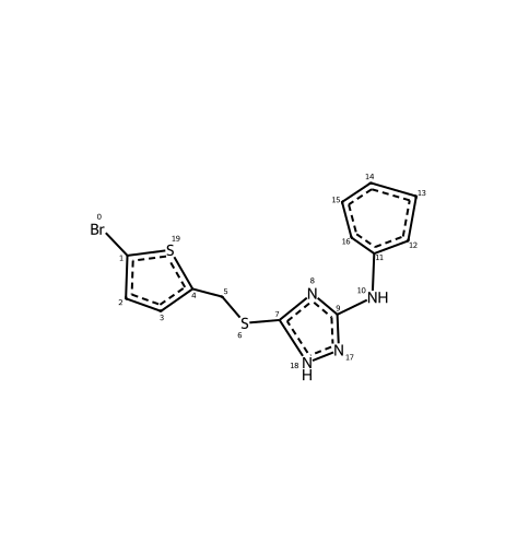 Brc1ccc(CSc2nc(Nc3ccccc3)n[nH]2)s1